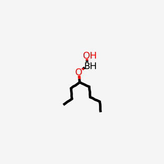 CCCCC(CCC)OBO